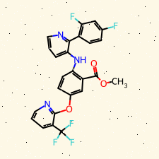 COC(=O)c1cc(Oc2ncccc2C(F)(F)F)ccc1Nc1cccnc1-c1ccc(F)cc1F